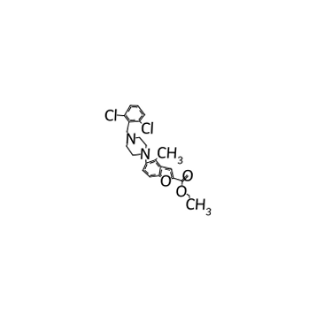 CCOC(=O)c1cc2c(C)c(N3CCN(Cc4c(Cl)cccc4Cl)CC3)ccc2o1